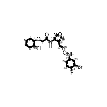 O=C(COc1ccccc1Cl)Nc1nonc1/C=N/ONc1ccc(F)c(Br)c1